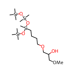 COCC(O)COCCCC[Si](C)(O[Si](C)(C)C)O[Si](C)(C)O[Si](C)(C)C